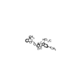 Cc1ccc2c(c1)c(CC(=O)O)c(C)n2C(=O)c1ccc(OC[C@@H]2CN(C)c3ccccc3O2)cc1Cl